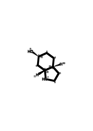 O[C@@H]1CC[C@H]2CCN[C@@H]2C1